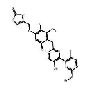 Cc1cc(OCc2noc(=O)[nH]2)c(F)c(C)c1Cc1ccc(O)c(-c2cc(OC(C)C)ccc2F)n1